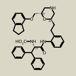 O=C(O)N[C@H](C(=O)Nc1ccccc1CC[C@@H]1CNC[C@@H](COc2cccc3c2CCC3)O1)C(c1ccccc1)c1ccccc1